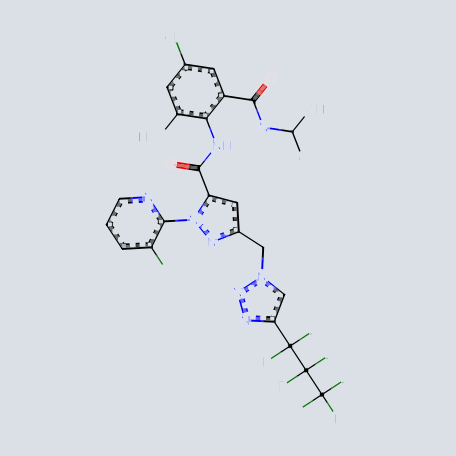 Cc1cc(Cl)cc(C(=O)NC(C)C)c1NC(=O)c1cc(Cn2cc(C(F)(F)C(F)(F)C(F)(F)F)nn2)nn1-c1ncccc1Cl